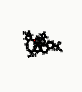 C=C(NC)c1ccc2c(c1)CCc1cc(C(=O)NC)ccc1C2(CC1(NCC(=C)N2C(C#N)C[C@@H]3CC32)CCC1)c1nnn[nH]1